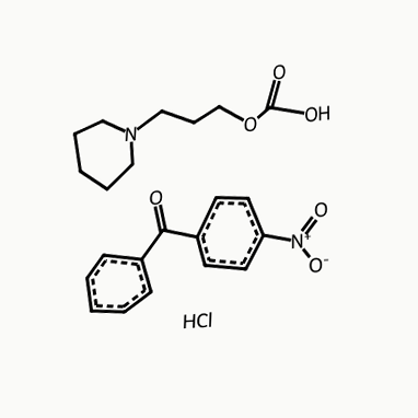 Cl.O=C(O)OCCCN1CCCCC1.O=C(c1ccccc1)c1ccc([N+](=O)[O-])cc1